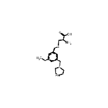 CCc1cc(CSCC(N)C(=O)O)cc(CN2CCNCC2)c1